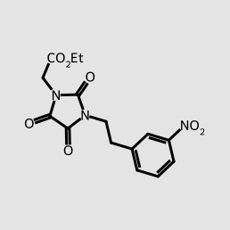 CCOC(=O)CN1C(=O)C(=O)N(CCc2cccc([N+](=O)[O-])c2)C1=O